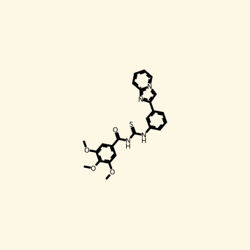 COc1cc(C(=O)NC(=S)Nc2cccc(-c3cn4ccccc4n3)c2)cc(OC)c1OC